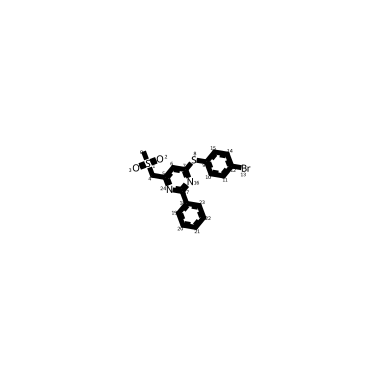 CS(=O)(=O)Cc1cc(Sc2ccc(Br)cc2)nc(-c2ccccc2)n1